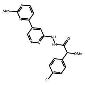 COC(C(=O)NNc1cc(-c2ccnc(SC)n2)cnn1)c1ccc(Cl)cc1